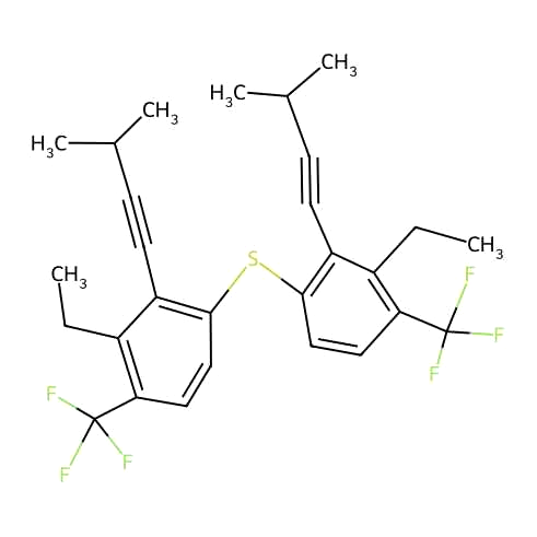 CCc1c(C(F)(F)F)ccc(Sc2ccc(C(F)(F)F)c(CC)c2C#CC(C)C)c1C#CC(C)C